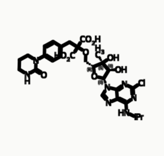 CC(C)Nc1nc(Cl)nc2c1ncn2[C@@H]1O[C@H](COC(Cc2ccc(N3CCCNC3=O)cc2)(C(=O)O)C(=O)O)[C@@](C)(O)[C@H]1O